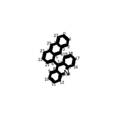 c1ccc2cc3c(-c4c5ccccc5nc5ccccc45)cccc3cc2c1